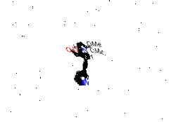 COC(OC)[C@H]1CC[C@H]2N1[C@@H]1C=C(C#Cc3cccnc3)C3=CC(=O)O[C@@]32C1